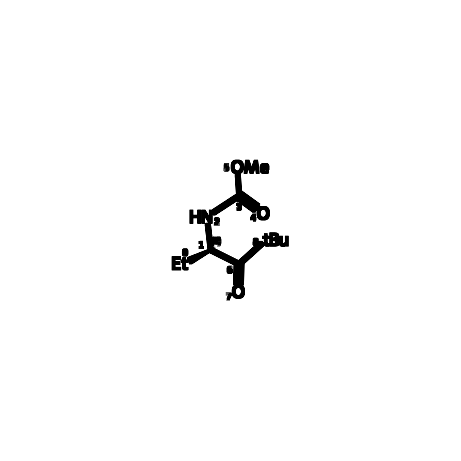 CC[C@@H](NC(=O)OC)C(=O)C(C)(C)C